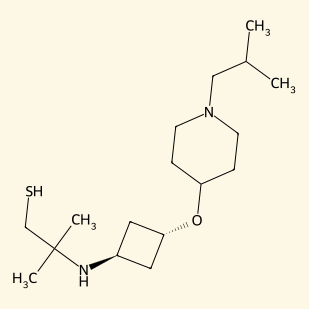 CC(C)CN1CCC(O[C@H]2C[C@H](NC(C)(C)CS)C2)CC1